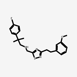 COc1cccc(CCc2nsc(CNCC(C)(C)c3ccc(F)cc3)n2)c1